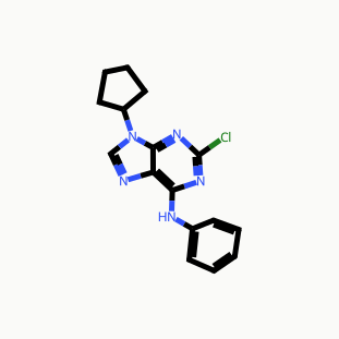 Clc1nc(Nc2ccccc2)c2ncn(C3CCCC3)c2n1